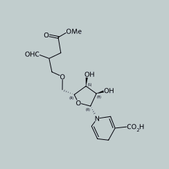 COC(=O)CC(C=O)COC[C@H]1O[C@@H](N2C=CCC(C(=O)O)=C2)[C@H](O)[C@@H]1O